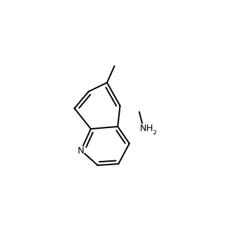 CN.Cc1ccc2ncccc2c1